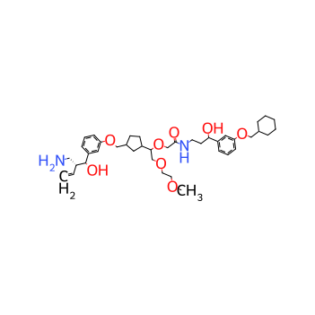 C=C[C@H](CN)[C@@H](O)c1cccc(OCC2CCC(C(COCCOC)OCC(=O)NCCC(O)c3cccc(OCC4CCCCC4)c3)C2)c1